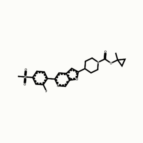 CC1(OC(=O)N2CCC(c3cc4cc(-c5ccc(S(C)(=O)=O)cc5F)ncc4o3)CC2)CC1